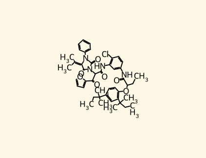 CCC(Oc1ccc(C(C)(C)CC)cc1C(C)(C)CC)C(=O)Nc1ccc(Cl)c(NC(=O)C(C(=O)c2ccco2)N2C(=O)C(=C(C)C)N(c3ccccc3)C2=O)c1